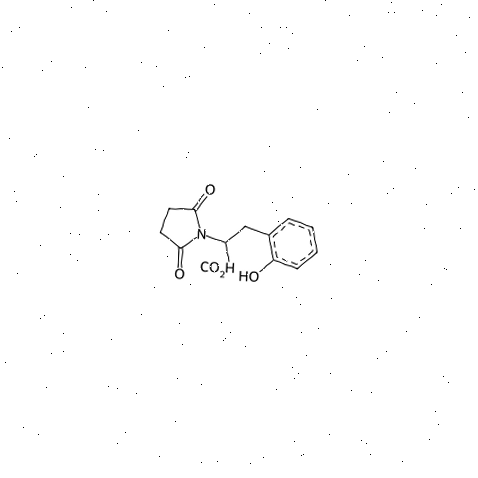 O=C(O)C(Cc1ccccc1O)N1C(=O)CCC1=O